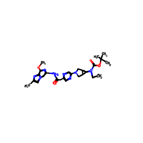 CCN(C(=O)OC(C)(C)C)C1C2CN(c3cnc(C(=O)Nc4cn5cc(C)nc5c(OC)n4)cn3)CC21